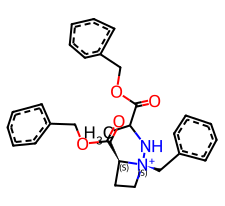 CC(N[N@+]1(Cc2ccccc2)CC[C@H]1C(=O)OCc1ccccc1)C(=O)OCc1ccccc1